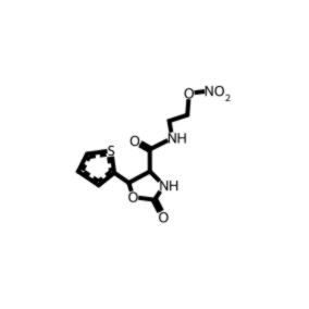 O=C1NC(C(=O)NCCO[N+](=O)[O-])C(c2cccs2)O1